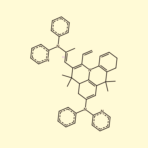 C=CC1=C(/C=C(\C)N(c2ccccc2)c2ccccn2)C(C)(C)C2CC(N(c3ccccc3)c3ccccn3)=CC3=C2N1C1=C(CCC=C1)C3(C)C